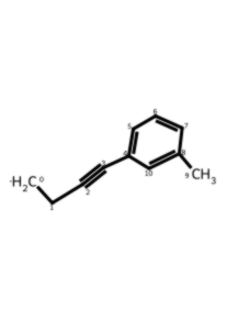 [CH2]CC#Cc1cccc(C)c1